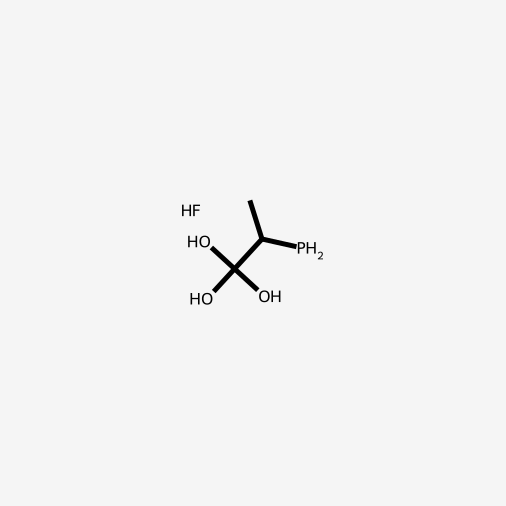 CC(P)C(O)(O)O.F